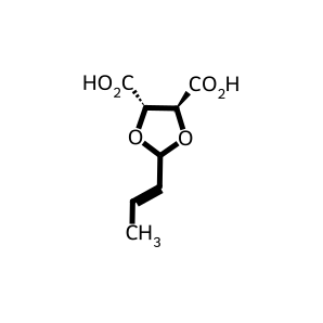 CC=CC1O[C@H](C(=O)O)[C@@H](C(=O)O)O1